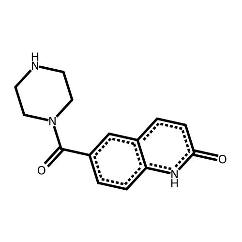 O=C(c1ccc2[nH]c(=O)ccc2c1)N1CCNCC1